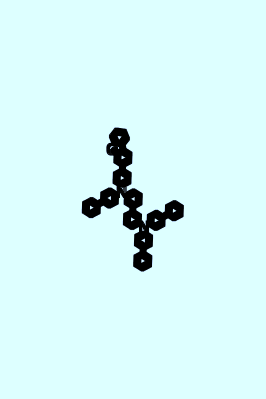 c1ccc(-c2ccc(N(c3ccc(-c4ccccc4)cc3)c3cccc(-c4cccc(N(c5ccc(-c6ccccc6)cc5)c5ccc(-c6ccc7c(c6)oc6ccccc67)cc5)c4)c3)cc2)cc1